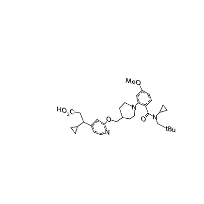 COc1ccc(C(=O)N(CC(C)(C)C)C2CC2)c(N2CCC(COc3cc(C(CC(=O)O)C4CC4)ccn3)CC2)c1